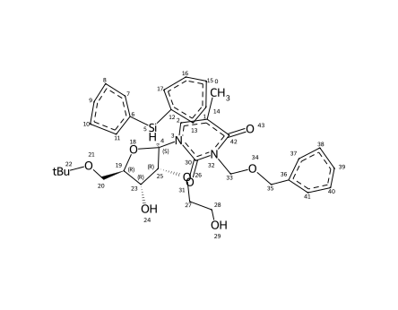 Cc1cn([C@]2([SiH](c3ccccc3)c3ccccc3)O[C@H](COC(C)(C)C)[C@@H](O)[C@H]2OCCO)c(=O)n(COCc2ccccc2)c1=O